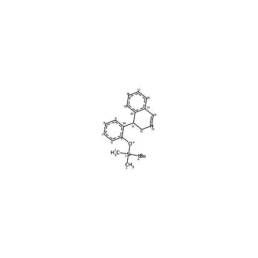 CC(C)(C)[Si](C)(C)Oc1ccccc1C1CN=Cc2ccccc21